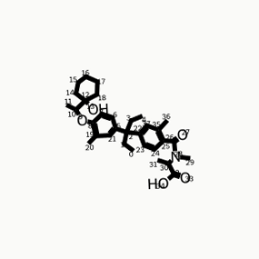 CCC(CC)(c1ccc(OC(C)C2(O)CCCCC2)c(C)c1)c1ccc(C(=O)N(C)C(C)C(=O)O)c(C)c1